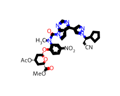 COC(=O)[C@@H]1C[C@H](OC(C)=O)C[C@H](Oc2ccc([N+](=O)[O-])cc2N(C)C(=O)n2ccc3c(-c4cnn([C@H](CC#N)C5CCCC5)c4)ncnc32)O1